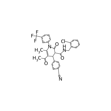 CC(=O)C1=C(C)N(c2cccc(C(F)(F)F)c2)C(=O)C(C(=O)NCc2ccccc2Cl)C1c1ccc(C#N)cc1